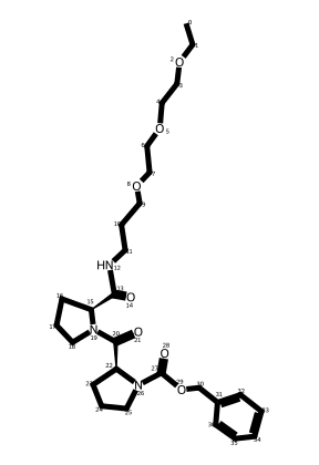 CCOCCOCCOCCCNC(=O)[C@@H]1CCCN1C(=O)[C@@H]1CCCN1C(=O)OCc1ccccc1